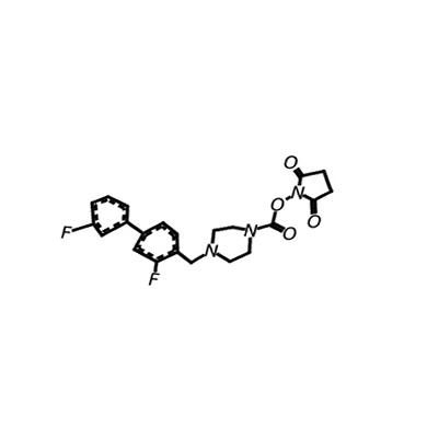 O=C(ON1C(=O)CCC1=O)N1CCN(Cc2ccc(-c3cccc(F)c3)cc2F)CC1